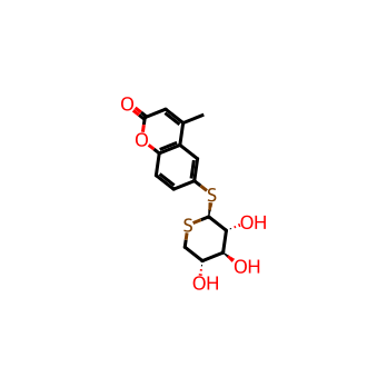 Cc1cc(=O)oc2ccc(S[C@@H]3SC[C@@H](O)[C@H](O)[C@H]3O)cc12